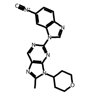 [C-]#[N+]c1ccc2ncn(-c3ncc4nc(C)n(C5CCOCC5)c4n3)c2c1